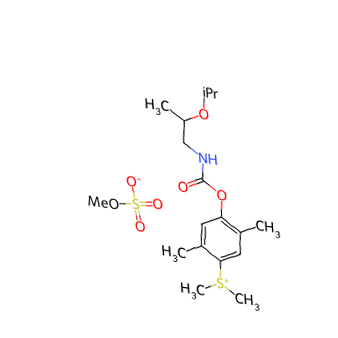 COS(=O)(=O)[O-].Cc1cc([S+](C)C)c(C)cc1OC(=O)NCC(C)OC(C)C